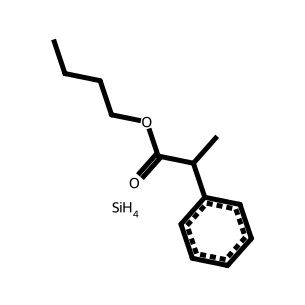 CCCCOC(=O)C(C)c1ccccc1.[SiH4]